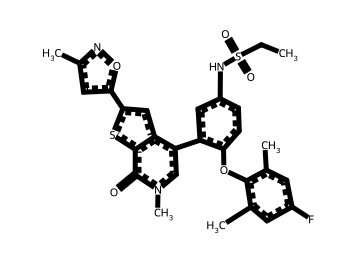 CCS(=O)(=O)Nc1ccc(Oc2c(C)cc(F)cc2C)c(-c2cn(C)c(=O)c3sc(-c4cc(C)no4)cc23)c1